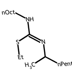 CCCCCCCCNC(=NC(C)CCCCC)SCC